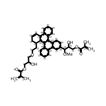 C=C(C)C(=O)OCC(O)COCCC1CC=Cc2c1c1c3ccccc3c3cc(C(OC)C(O)COC(=O)C(=C)C)ccc3c1c1ccccc21